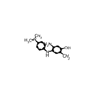 Cc1cc(Nc2ccc(N(C)C)cc2)c(N)cc1O